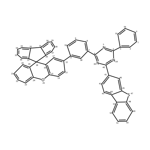 c1ccc(-c2nc(-c3cccc(-c4ccc5c(c4)C4(c6ccccc6O5)c5ccccc5-c5ccccc54)c3)nc(-c3ccc4c(c3)sc3ccccc34)n2)cc1